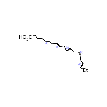 CC/C=C/C/C=C\C/C=C/C/C=C/C/C=C/CCCC(=O)O